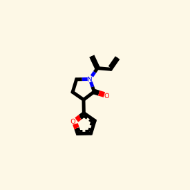 C=CC(=C)N1CCC(c2ccco2)C1=O